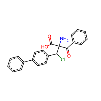 NC(C(=O)O)(C(=O)c1ccccc1)C(Cl)c1ccc(-c2ccccc2)cc1